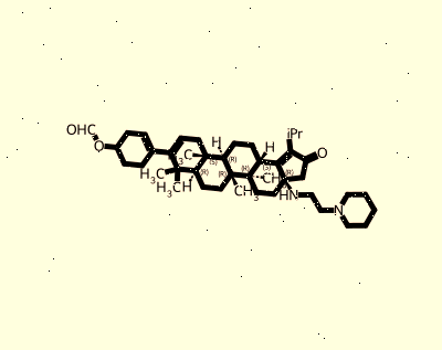 CC(C)C1=C2[C@H]3CC[C@@H]4[C@@]5(C)CC=C(C6=CCC(OC=O)CC6)C(C)(C)[C@@H]5CC[C@@]4(C)[C@]3(C)CC[C@@]2(NCCN2CCCCC2)CC1=O